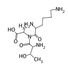 CC(O)C(N)C(=O)N(C(=O)C(N)CCCCN)C(C)C(=O)O